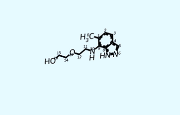 Cc1ccc2cn[nH]c2c1NCCOCCO